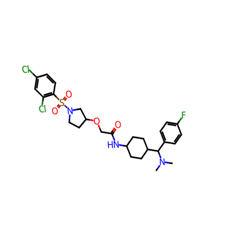 CN(C)C(c1ccc(F)cc1)C1CCC(NC(=O)COC2CCN(S(=O)(=O)c3ccc(Cl)cc3Cl)C2)CC1